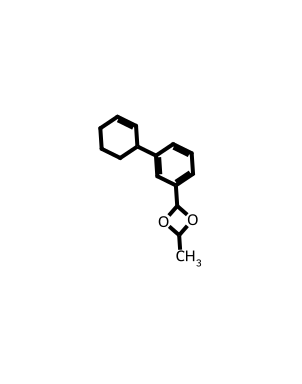 CC1OC(c2cccc(C3C=CCCC3)c2)O1